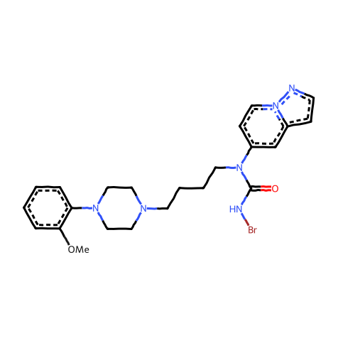 COc1ccccc1N1CCN(CCCCN(C(=O)NBr)c2ccn3nccc3c2)CC1